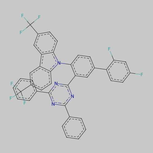 Fc1ccc(-c2ccc(-n3c4ccc(C(F)(F)F)cc4c4cc(C(F)(F)F)ccc43)c(-c3nc(-c4ccccc4)nc(-c4ccccc4)n3)c2)c(F)c1